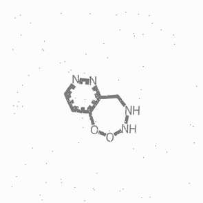 c1cc2c(nn1)CNNOO2